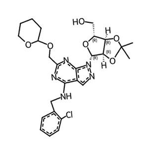 CC1(C)O[C@@H]2[C@H](O1)[C@@H](CO)O[C@H]2n1ncc2c(NCc3ccccc3Cl)nc(COC3CCCCO3)nc21